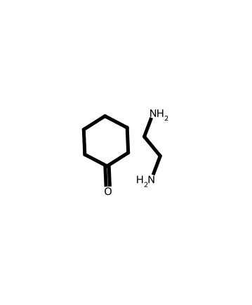 NCCN.O=C1CCCCC1